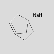 C1=C2CCC(C1)C2.[NaH]